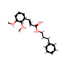 COc1cccc(/C=C/C(=O)OCCCc2ccccc2)c1OC